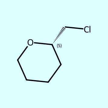 ClC[C@@H]1CCCCO1